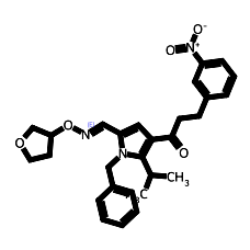 CC(C)c1c(C(=O)CCc2cccc([N+](=O)[O-])c2)cc(/C=N/OC2CCOC2)n1Cc1ccccc1